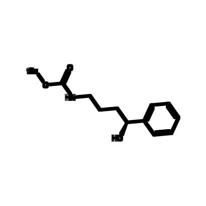 CC(C)(C)OC(=O)NCCC[C@H](O)c1ccccc1